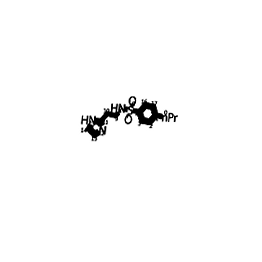 CCCc1ccc(S(=O)(=O)NCCc2ncc[nH]2)cc1